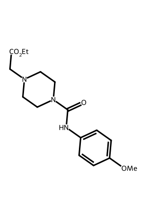 CCOC(=O)CN1CCN(C(=O)Nc2ccc(OC)cc2)CC1